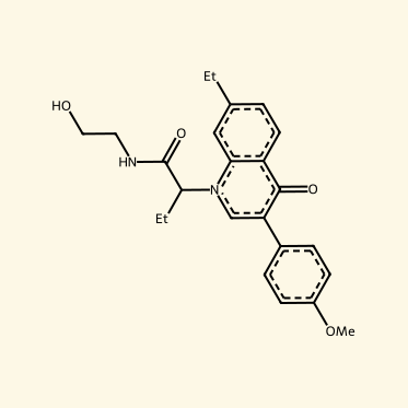 CCc1ccc2c(=O)c(-c3ccc(OC)cc3)cn(C(CC)C(=O)NCCO)c2c1